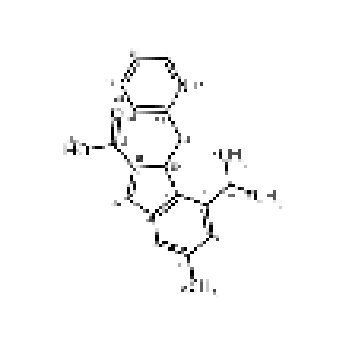 Cc1cc2c(c(C(C)C)c1)C(Cc1ccccn1)C(C(=O)O)=C2